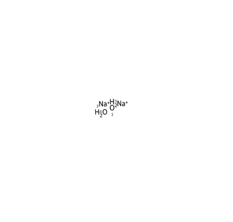 O.O.[Na+].[Na+]